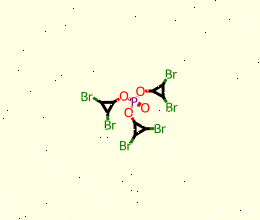 O=P(OC1C(Br)C1Br)(OC1C(Br)C1Br)OC1C(Br)C1Br